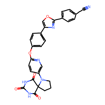 N#Cc1ccc(-c2nc(-c3ccc(Oc4ccc(N5CCCC56C(=O)NC(=O)NC6=O)cn4)cc3)co2)cc1